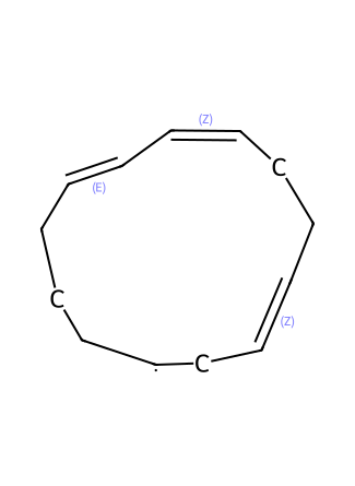 [CH]1C/C=C\CC/C=C\C=C\CCC1